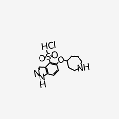 CS(=O)(=O)c1c(OC2CCCNCC2)ccc2[nH]ncc12.Cl